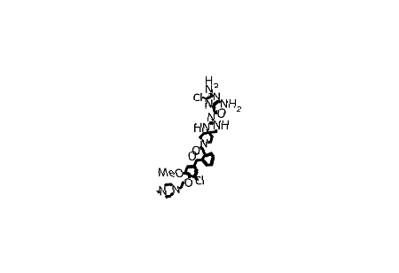 COc1cc(C(=O)c2ccccc2C(=O)N2CCC3(CC2)CN/C(=N\C(=O)c2nc(Cl)c(N)nc2N)N3)cc(Cl)c1OCCN1CCN(C)CC1